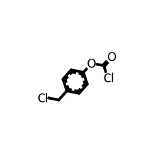 O=C(Cl)Oc1ccc(CCl)cc1